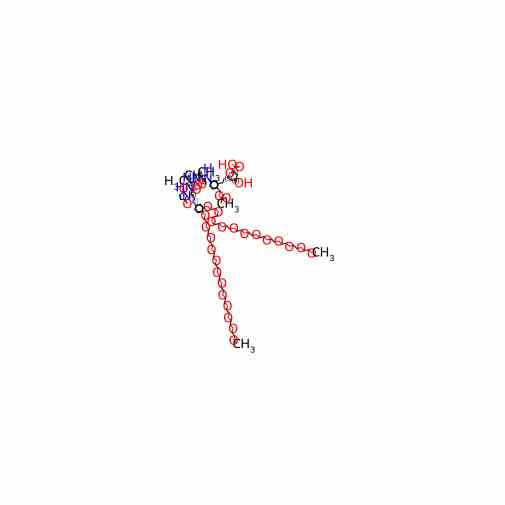 COCCOCCOCCOCCOCCOCCOCCOCCOCCOCCOCCOc1ccc(/C=C/[C@@H](C(=O)N[C@H](C(=O)N[C@@H](C)C(=O)Nc2ccc(COC(C)=O)c(CC[C@H]3C[C@@H](O)C[C@@H](C(=O)O)O3)c2)C(C)C)N2C(=O)C=CC2=O)cc1OCCOCCOCCOCCOCCOCCOCCOCCOCCOCCOCCOC